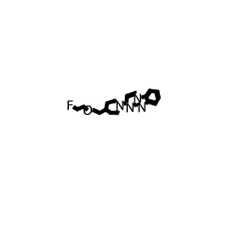 FCCOCCC1CCN(c2ccn3c(n2)nc2ccccc23)CC1